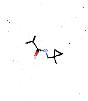 CC(C)C(=O)NCC1(C)CC1